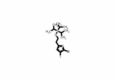 CC(C)[Si](OCCc1cc(I)c(Br)s1)(C(C)C)C(C)C